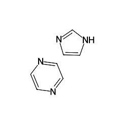 c1c[nH]cn1.c1cnccn1